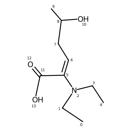 CCN(CC)/C(=C/CC(C)O)C(=O)O